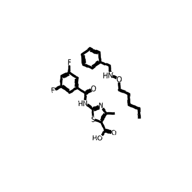 CCCCCONCc1ccccc1.Cc1nc(NC(=O)c2cc(F)cc(F)c2)sc1C(=O)O